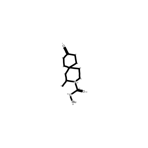 CC1CC2(CCC(=O)CC2)CCN1C(=O)OC(C)(C)C